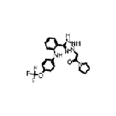 O=C(CN1N=C(c2ccccc2Nc2ccc(OC(F)(F)F)cc2)NN1)N1CCCC1